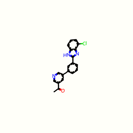 CC(=O)c1cncc(-c2cccc(-c3nc4c(Cl)cccc4[nH]3)c2)c1